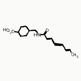 CC=CC=CC=CC(=O)NCC1CCC(C(=O)O)CC1